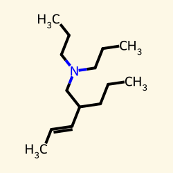 C/C=C/C(CCC)CN(CCC)CCC